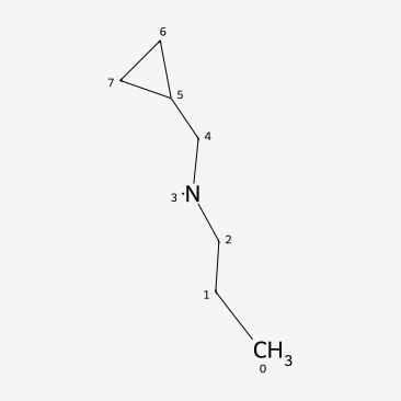 CCC[N]CC1CC1